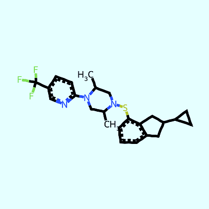 CC1CN(c2ccc(C(F)(F)F)cn2)C(C)CN1Sc1cccc2c1CC(C1CC1)C2